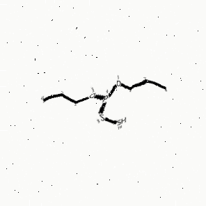 CCCOP(OCCC)SS